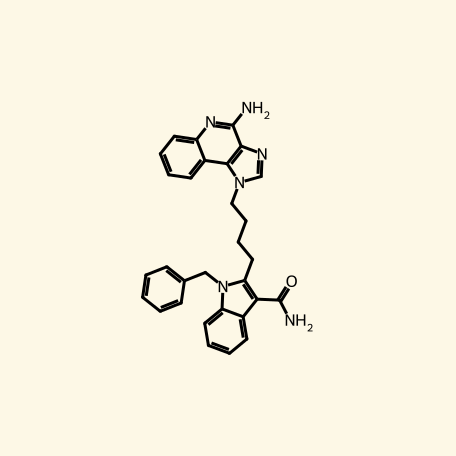 NC(=O)c1c(CCCCn2cnc3c(N)nc4ccccc4c32)n(Cc2ccccc2)c2ccccc12